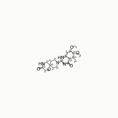 COc1cc2[nH]c(N3CCC4(CC3)CNC(=O)CO4)nc(=O)c2c(C)c1OC